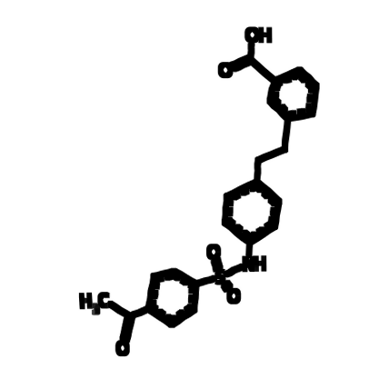 CC(=O)c1ccc(S(=O)(=O)Nc2ccc(CCc3cccc(C(=O)O)c3)cc2)cc1